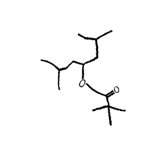 CC(C)CC(CC(C)C)OC(=O)C(C)(C)C